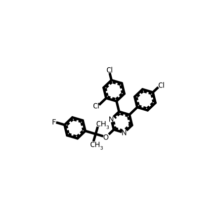 CC(C)(Oc1ncc(-c2ccc(Cl)cc2)c(-c2ccc(Cl)cc2Cl)n1)c1ccc(F)cc1